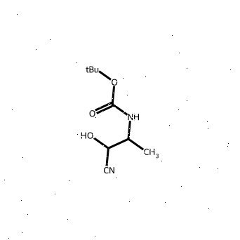 CC(NC(=O)OC(C)(C)C)C(O)C#N